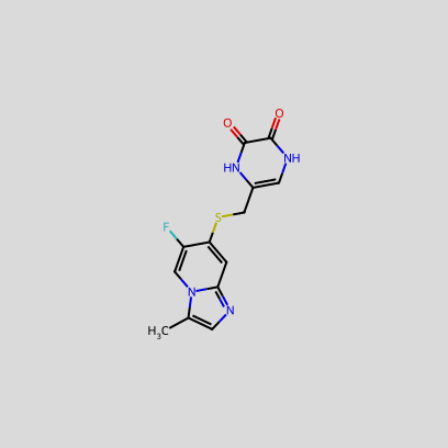 Cc1cnc2cc(SCc3c[nH]c(=O)c(=O)[nH]3)c(F)cn12